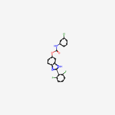 O=C(Nc1cccc(Cl)c1)Oc1ccc2nc(-c3c(F)cccc3F)[nH]c2c1